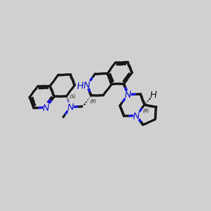 CN(C[C@H]1Cc2c(cccc2N2CCN3CCC[C@@H]3C2)CN1)[C@H]1CCCc2cccnc21